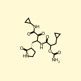 NC(=O)OC(CC1CC1)C(=O)NC(C[C@@H]1CCNC1=O)C(=O)C(=O)NC1CC1